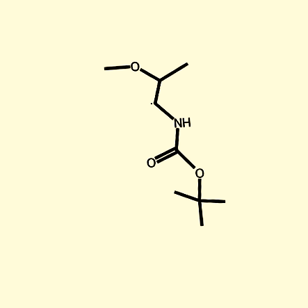 COC(C)[CH]NC(=O)OC(C)(C)C